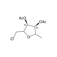 CC(=O)O[C@@H]1C(CCl)OC(C)[C@@H]1OC(C)=O